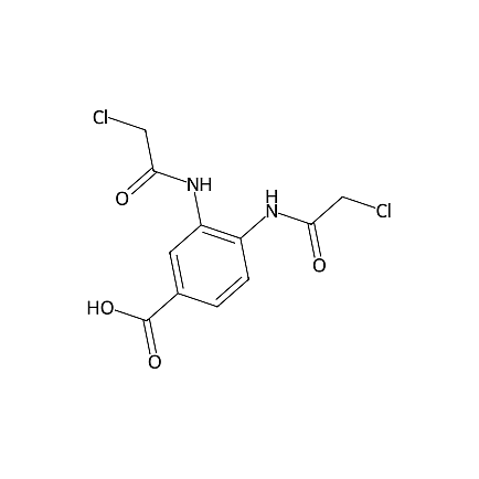 O=C(CCl)Nc1ccc(C(=O)O)cc1NC(=O)CCl